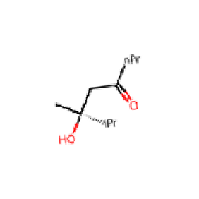 CCCC(=O)C[C@](C)(O)C(C)C